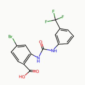 O=C(Nc1cccc(C(F)(F)F)c1)Nc1cc(Br)ccc1C(=O)O